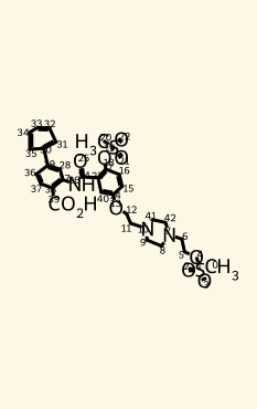 CS(=O)(=O)OCCN1CCN(CCOc2ccc(OS(C)(=O)=O)c(C(=O)Nc3cc(-c4ccccc4)ccc3C(=O)O)c2)CC1